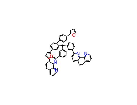 c1cc(-c2ccc3ccc4cccnc4c3n2)cc(C2(c3cccc(-c4ccc5ccc6cccnc6c5n4)c3)c3cc(-c4ccco4)ccc3-c3ccc(-c4ccco4)cc32)c1